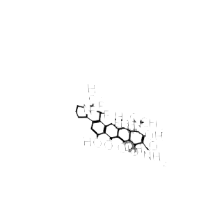 CCN1CCCC1c1cc(O)c2c(c1C(F)(F)F)C[C@H]1C[C@H]3[C@H](N(C)C)C(O)=C(C(N)=O)C(=O)[C@@]3(O)C(O)=C1C2=O